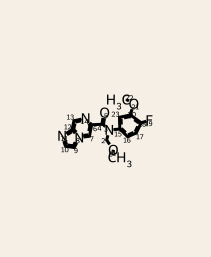 COCN(C(=O)c1cn2ccnc2cn1)c1ccc(F)c(OC)c1